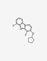 Fc1cccc2c1oc1c(F)c(OC3CCCC3)ccc12